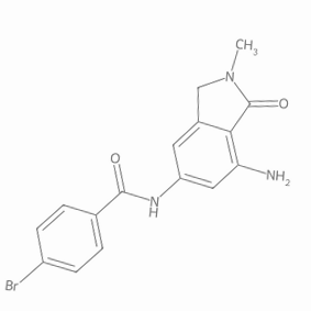 CN1Cc2cc(NC(=O)c3ccc(Br)cc3)cc(N)c2C1=O